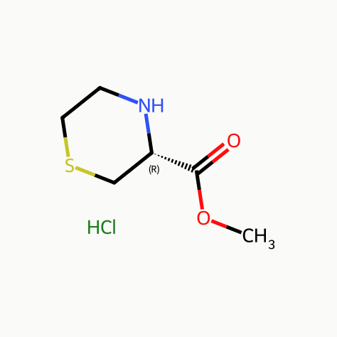 COC(=O)[C@@H]1CSCCN1.Cl